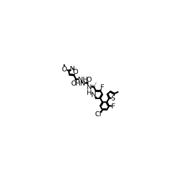 COc1cc(C(=O)NNC(=O)N[C@H](C)c2ncc(-c3cc(Cl)cc(F)c3-c3ccc(C)s3)cc2F)on1